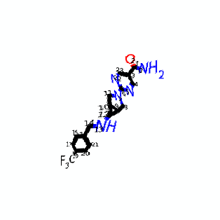 NC(=O)c1cnc(N2CC3C(C2)C3NCc2ccc(C(F)(F)F)cc2)nc1